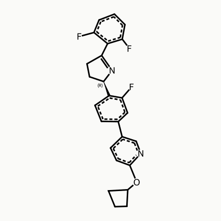 Fc1cc(-c2ccc(OC3CCC3)nc2)ccc1[C@H]1CCC(c2c(F)cccc2F)=N1